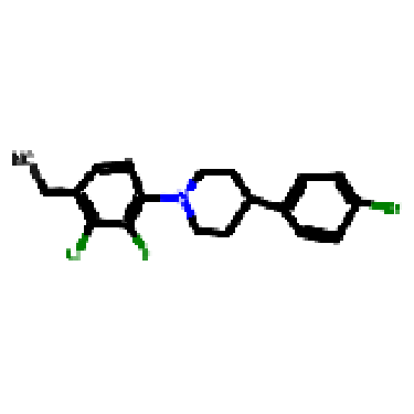 N#CCc1ccc(N2CCC(c3ccc(Br)cc3)CC2)c(F)c1Cl